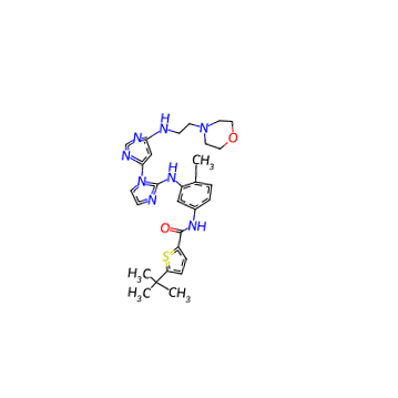 Cc1ccc(NC(=O)c2ccc(C(C)(C)C)s2)cc1Nc1nccn1-c1cc(NCCN2CCOCC2)ncn1